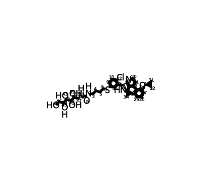 O=C(NCCCCSc1ccc(Cl)c(CNC2(c3cnccc3-c3ccccc3OC3CC3)CC2)c1)NC[C@H](O)[C@@H](O)[C@H](O)[C@H](O)CO